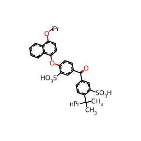 CCCC(C)(C)c1ccc(C(=O)c2ccc(Oc3ccc(OC(C)C)c4ccccc34)c(S(=O)(=O)O)c2)cc1S(=O)(=O)O